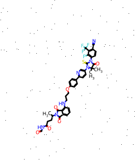 CC(CCC(=O)NC=O)N1C(=O)c2cccc(NCCCOc3ccc(-c4ccc(N5C(=S)N(c6ccc(C#N)c(C(F)(F)F)c6F)C(=O)C5(C)C)cn4)cc3)c2C1=O